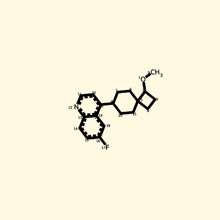 COC1CCC12CCC(c1ccnc3ccc(F)cc13)CC2